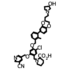 Cc1c(COc2cc(OCc3cncc(C#N)c3)c(CN3CCCCC3C(=O)O)cc2Cl)cccc1-c1ccc2c(c1)OC(CCN1CC[C@@H](O)C1)CO2